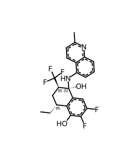 CC[C@@H]1C[C@@H](C(F)(F)F)[C@@](O)(Nc2cccc3nc(C)ccc23)c2cc(F)c(F)c(O)c21